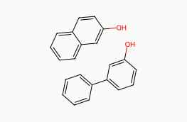 Oc1ccc2ccccc2c1.Oc1cccc(-c2ccccc2)c1